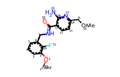 CCCCOc1cccc(CNC(=O)c2ccc(COC)nc2N)c1F